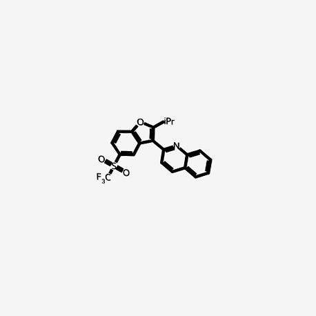 CC(C)c1oc2ccc(S(=O)(=O)C(F)(F)F)cc2c1-c1ccc2ccccc2n1